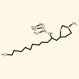 CCCCCCCCCCC(O)CC1CCN(C)CC1.CN.CN.CN